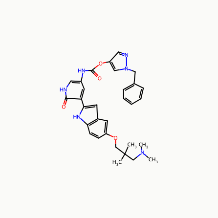 CN(C)CC(C)(C)COc1ccc2[nH]c(-c3cc(NC(=O)Oc4cnn(Cc5ccccc5)c4)c[nH]c3=O)cc2c1